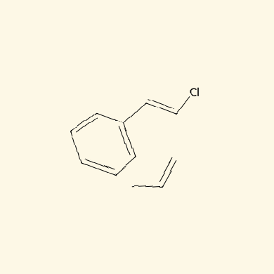 C=CC.ClC=Cc1ccccc1